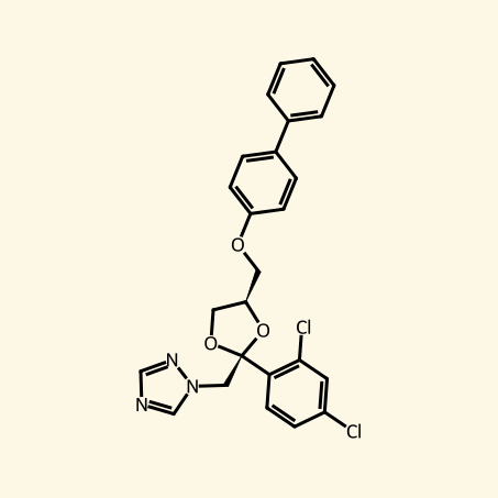 Clc1ccc([C@]2(Cn3cncn3)OC[C@@H](COc3ccc(-c4ccccc4)cc3)O2)c(Cl)c1